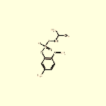 CSc1ccc(C)cc1OP(=O)(O)ONC(C)C